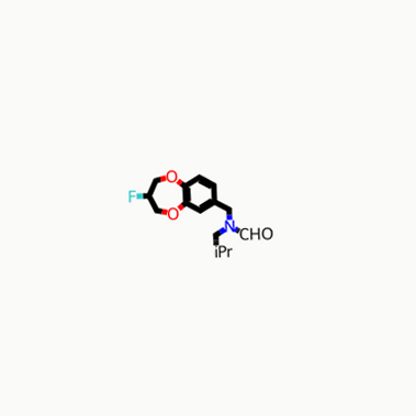 CC(C)CN(C=O)Cc1ccc2c(c1)OCC(F)CO2